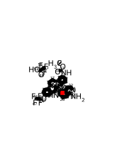 CCS(=O)(=O)c1ccc(NC(=O)OC)cc1[C@H]1CCCN1C(=O)[C@H](Nc1ccc2c(N)nccc2c1)c1cccc(OC(F)(F)C(F)F)c1.O=C(O)C(F)(F)F